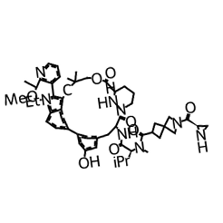 CCn1c(-c2cccnc2[C@H](C)OC)c2c3cc(ccc31)-c1cc(O)cc(c1)C[C@H](NC(=O)[C@H](C(C)C)N(C)C(=O)C1CC3(C1)CN(C(=O)[C@H]1CN1)C3)C(=O)N1CCC[C@H](N1)C(=O)OCC(C)(C)C2